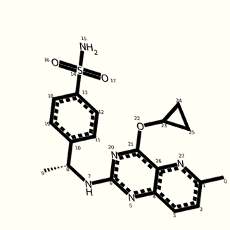 Cc1ccc2nc(N[C@H](C)c3ccc(S(N)(=O)=O)cc3)nc(OC3CC3)c2n1